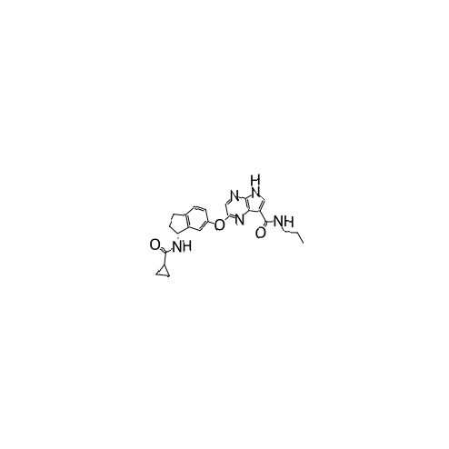 CCCNC(=O)c1c[nH]c2ncc(Oc3ccc4c(c3)[C@H](NC(=O)C3CC3)CC4)nc12